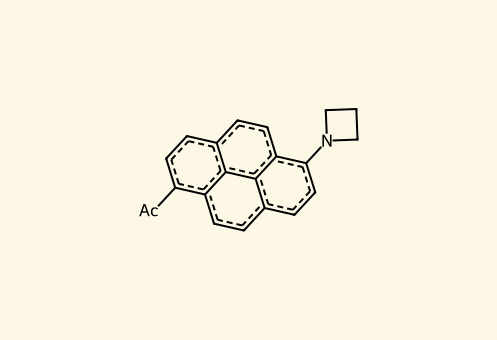 CC(=O)c1ccc2ccc3c(N4CCC4)ccc4ccc1c2c43